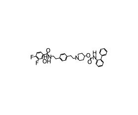 O=C(Nc1ccccc1-c1ccccc1)OC1CCN(CCc2ccc(CCNC(=O)c3ccc(F)c(F)c3O)cc2)CC1